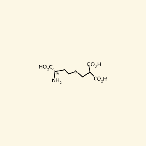 N[C@@H](CCSCC(C(=O)O)C(=O)O)C(=O)O